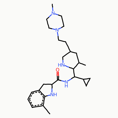 Cc1cccc2c1NC(C(=O)NC(C1CC1)C1NCC(CCN3CCN(C)CC3)CC1C)C2